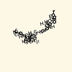 Cc1ncsc1-c1ccc(CNC(=O)[C@@H]2C[C@@H](O)CN2C(=O)[C@@H](NC2OC2CC(C)CC(C)CCN2CCN(c3ccc(Nc4cc(-c5cccc(-n6ccc7cc(C8CC8)cc(F)c7c6=O)c5CO)cn(C)c4=O)nc3)CC2)C(C)(C)C)cc1